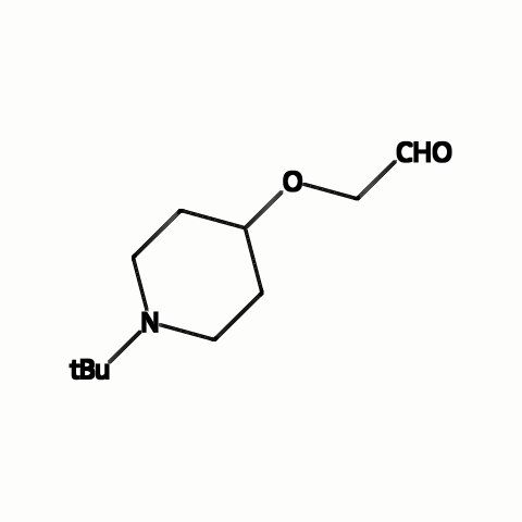 CC(C)(C)N1CCC(OCC=O)CC1